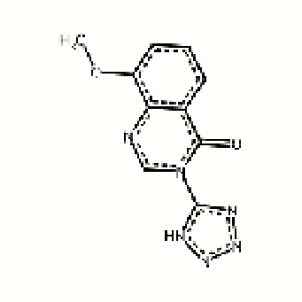 COc1cccc2c(=O)n(-c3nnn[nH]3)cnc12